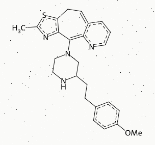 COc1ccc(CCC2CN(C3=c4ncccc4=CCc4sc(C)nc43)CCN2)cc1